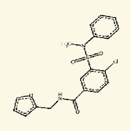 CN(c1ccccc1)S(=O)(=O)c1cc(C(=O)NCc2ccco2)ccc1Cl